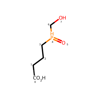 O=C(O)CCC[PH](=O)CO